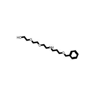 OCCOCCOCCNCCCOCc1ccccc1